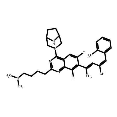 C/C(=C\C(O)=C/c1ccccc1C)c1c(Cl)cc2c(N3CC4CCC(C3)N4)nc(CCCCN(C)C)nc2c1F